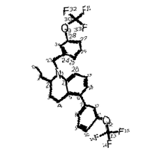 CCC1CCc2c(-c3cccc(OC(F)(F)F)c3)cccc2N1Cc1cccc(OC(F)(F)F)c1